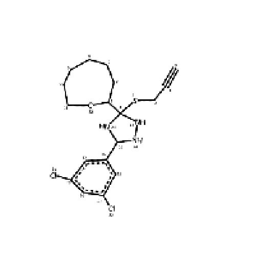 C#CCSC1(C2CCCCCCC2)NNC(c2cc(Cl)cc(Cl)c2)N1